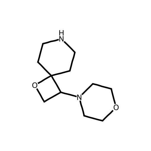 C1CC2(CCN1)OCC2N1CCOCC1